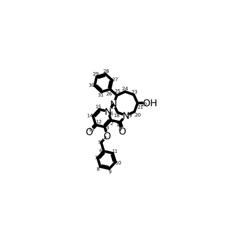 O=C1c2c(OCc3ccccc3)c(=O)ccn2N2CN1CC(O)CCC2c1ccccc1